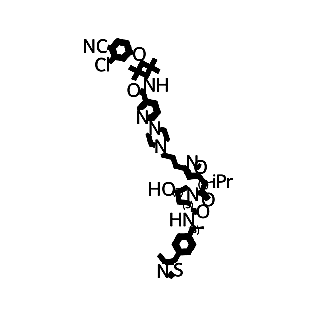 Cc1ncsc1-c1ccc([C@H](C)NC(=O)[C@@H]2C[C@@H](O)CN2C(=O)[C@H](c2cc(CCCN3CCN(c4ccc(C(=O)N[C@H]5C(C)(C)[C@H](Oc6ccc(C#N)c(Cl)c6)C5(C)C)cn4)CC3)no2)C(C)C)cc1